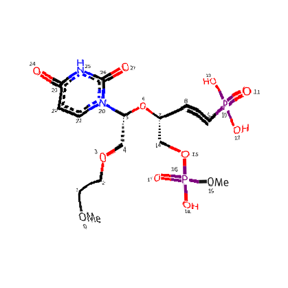 COCCOC[C@@H](O[C@H](/C=C/P(=O)(O)O)COP(=O)(O)OC)n1ccc(=O)[nH]c1=O